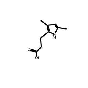 Cc1cc(C)c(CCC(=O)O)[nH]1